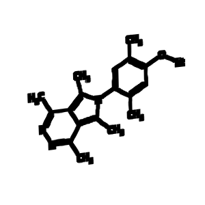 CCOc1cc(C)c(-n2c(C)c3c(C)nnc(C)c3c2C)cc1C